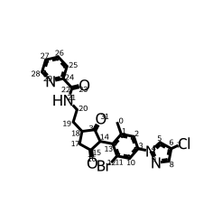 Cc1cc(-n2cc(Cl)cn2)cc(Br)c1C1C(=O)CC(CCNC(=O)c2ccccn2)C1=O